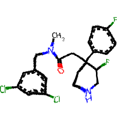 CN(Cc1cc(Cl)cc(Cl)c1)C(=O)CC1(c2ccc(F)cc2)CCNCC1F